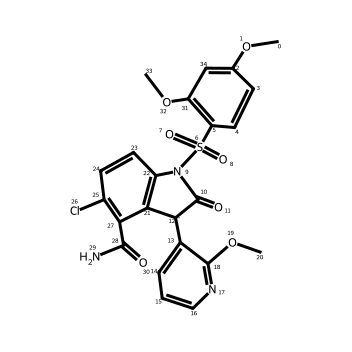 COc1ccc(S(=O)(=O)N2C(=O)[C](c3cccnc3OC)c3c2ccc(Cl)c3C(N)=O)c(OC)c1